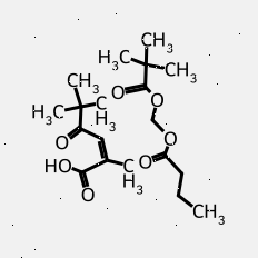 CC(=CC(=O)C(C)(C)C)C(=O)O.CCCC(=O)OCOC(=O)C(C)(C)C